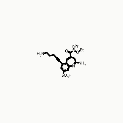 CCCN(OCC)C(=O)C1=Cc2c(C#CCCCN)cc(S(=O)(=O)O)cc2N=C(N)C1